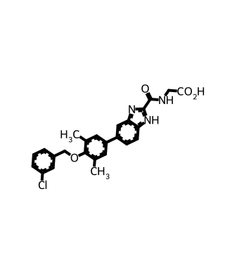 Cc1cc(-c2ccc3[nH]c(C(=O)NCC(=O)O)nc3c2)cc(C)c1OCc1cccc(Cl)c1